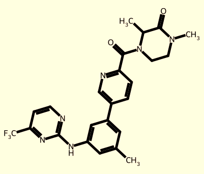 Cc1cc(Nc2nccc(C(F)(F)F)n2)cc(-c2ccc(C(=O)N3CCN(C)C(=O)C3C)nc2)c1